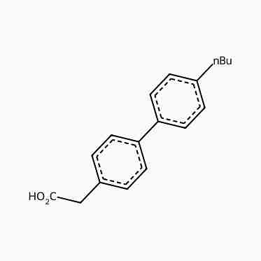 CCCCc1ccc(-c2ccc(CC(=O)O)cc2)cc1